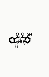 NN(C(=O)c1ccccc1S)C(=O)c1ccccc1S